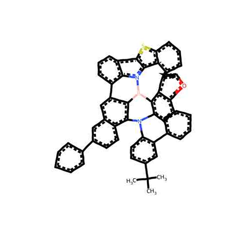 CC(C)(C)c1ccc(N2c3ccc4oc5ccccc5c4c3B3c4c(cc5cc(-c6ccccc6)ccc5c42)-c2cccc4c5sc6ccccc6c5n3c24)c(-c2ccccc2)c1